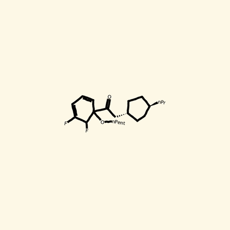 CCCCCOC1(C(=O)C[C@H]2CC[C@H](CCC)CC2)C=CC=C(F)C1F